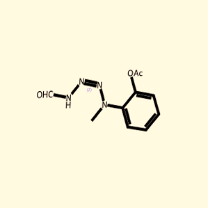 CC(=O)Oc1ccccc1N(C)/N=N\NC=O